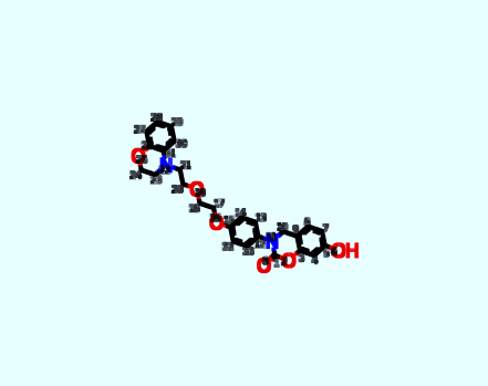 O=C1Oc2cc(O)ccc2CN1c1ccc(OCCOCCN2CCOc3ccccc32)cc1